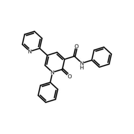 O=C(Nc1ccccc1)c1cc(-c2ccccn2)cn(-c2ccccc2)c1=O